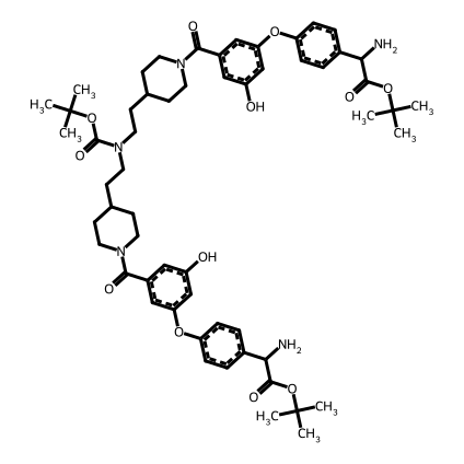 CC(C)(C)OC(=O)C(N)c1ccc(Oc2cc(O)cc(C(=O)N3CCC(CCN(CCC4CCN(C(=O)c5cc(O)cc(Oc6ccc(C(N)C(=O)OC(C)(C)C)cc6)c5)CC4)C(=O)OC(C)(C)C)CC3)c2)cc1